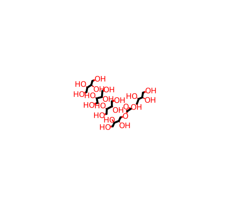 OC[C@@H](O)[C@@H](O)CO.OC[C@@H](O)[C@@H](O)CO.OC[C@@H](O)[C@@H](O)CO.OC[C@@H](O)[C@@H](O)CO.OC[C@@H](O)[C@@H](O)COC1CO1